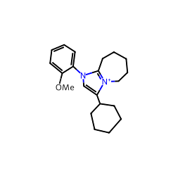 COc1ccccc1-n1cc(C2CCCCC2)[n+]2c1CCCCC2